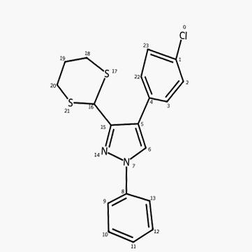 Clc1ccc(-c2cn(-c3ccccc3)nc2C2SCCCS2)cc1